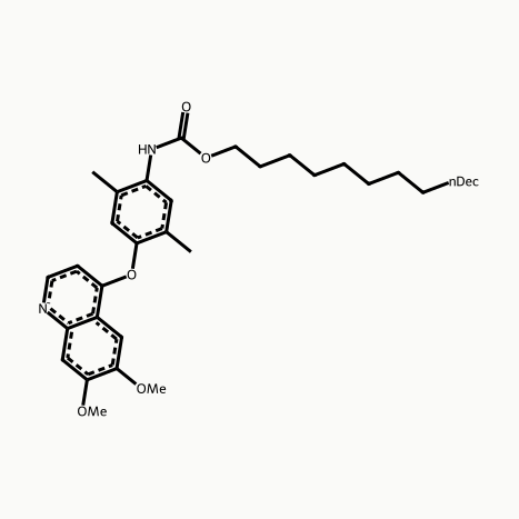 CCCCCCCCCCCCCCCCCCOC(=O)Nc1cc(C)c(Oc2ccnc3cc(OC)c(OC)cc23)cc1C